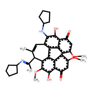 COc1c(O)c2c(=O)cc(OC)c3c4c(OC)cc(=O)c5c(O)c(NC6CCCC6)c6c(c(c1C(/C(C)=N/C1CCCC1)C(C)=C6)c23)c54